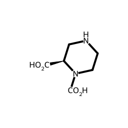 O=C(O)[C@H]1CNCCN1C(=O)O